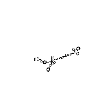 C#CCOc1ccc(CC[C@H](NC(=O)CCOCCOCCOCCOCCN2C(=O)c3ccccc3C2=O)C(=O)OCc2ccccc2)cc1